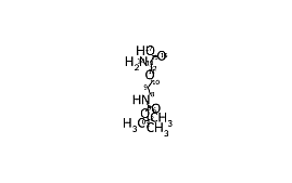 CC(C)(C)OC(=O)NCCCOC[C@H](N)C(=O)O